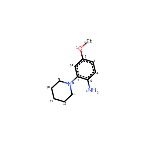 CCOc1ccc(N)c(N2CCCCC2)c1